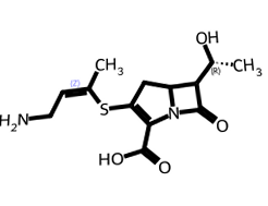 C/C(=C/CN)SC1=C(C(=O)O)N2C(=O)C([C@@H](C)O)C2C1